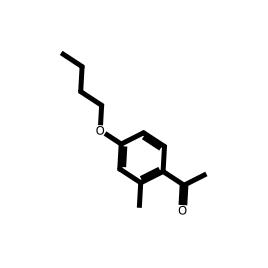 CCCCOc1ccc(C(C)=O)c(C)c1